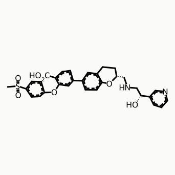 CS(=O)(=O)c1ccc(Oc2cc(-c3ccc4c(c3)CC[C@H](CNC[C@@H](O)c3cccnc3)O4)ccc2C(=O)O)cc1